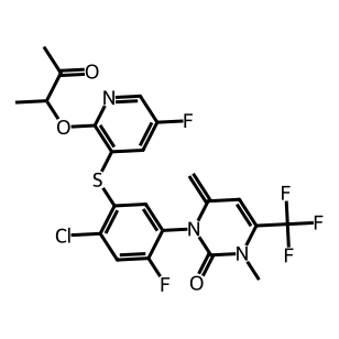 C=C1C=C(C(F)(F)F)N(C)C(=O)N1c1cc(Sc2cc(F)cnc2OC(C)C(C)=O)c(Cl)cc1F